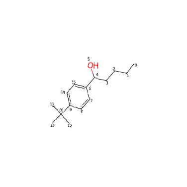 CCCCC(O)c1ccc(C(C)(C)C)cc1